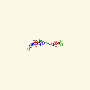 O=C(O)C(Cc1ccc(Cl)cc1)NS(=O)(=O)c1cnc(N2CCC(CCCCC3CCN(S(=O)(=O)c4cc(Br)c(Cl)s4)CC3)CC2)c(Br)c1